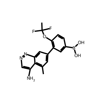 Cc1cc(-c2cc(B(O)O)ccc2OC(C)(F)F)cc2nncc(N)c12